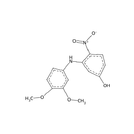 COc1ccc(Nc2cc(O)ccc2[N+](=O)[O-])cc1OC